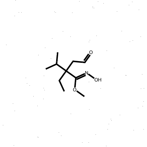 CCC(CC=O)(C(=NO)OC)C(C)C